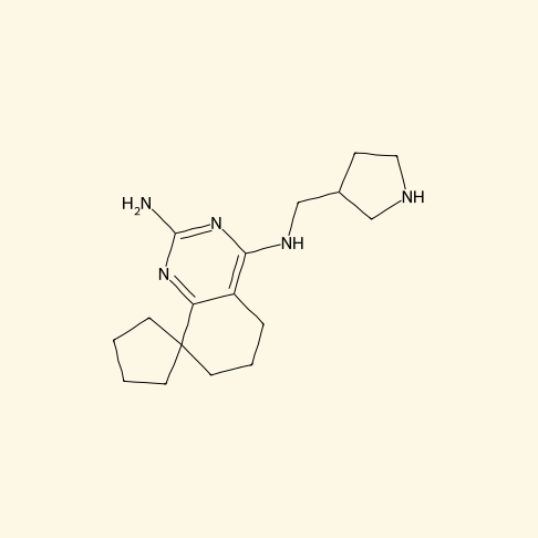 Nc1nc(NCC2CCNC2)c2c(n1)C1(CCCC1)CCC2